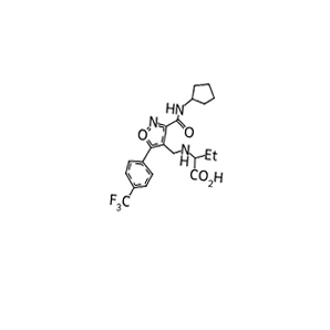 CCC(NCc1c(C(=O)NC2CCCC2)noc1-c1ccc(C(F)(F)F)cc1)C(=O)O